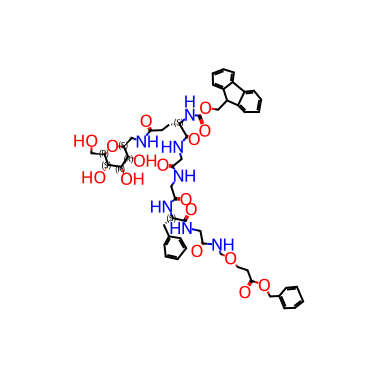 O=C(CC[C@H](NC(=O)OCC1c2ccccc2-c2ccccc21)C(=O)NCC(=O)NCC(=O)N[C@@H](Cc1ccccc1)C(=O)NCC(=O)NCOCCC(=O)OCc1ccccc1)NC[C@@H]1O[C@H](CO)[C@@H](O)[C@H](O)[C@H]1O